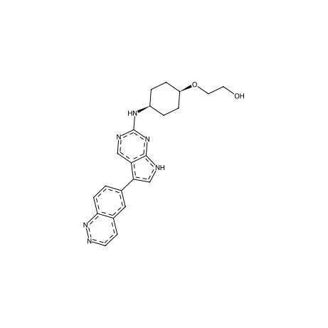 OCCO[C@H]1CC[C@@H](Nc2ncc3c(-c4ccc5nnccc5c4)c[nH]c3n2)CC1